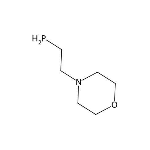 PCCN1CCOCC1